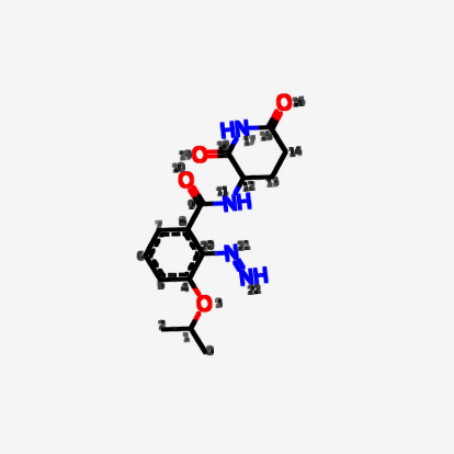 CC(C)Oc1cccc(C(=O)NC2CCC(=O)NC2=O)c1N=N